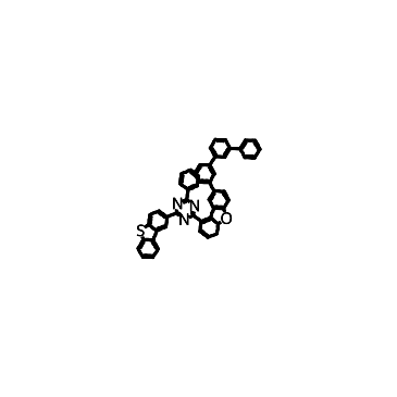 C1=CC(c2nc(-c3ccccc3)nc(-c3ccc4sc5ccccc5c4c3)n2)=C2c3cc(-c4cccc(-c5cccc(-c6ccccc6)c5)c4)ccc3OC2C1